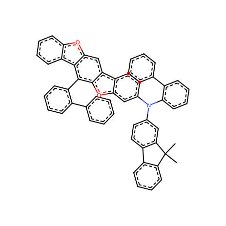 CC1(C)c2ccccc2-c2ccc(N(c3ccc4c(c3)oc3c(-c5ccccc5-c5ccccc5)c5c(cc34)oc3ccccc35)c3ccccc3-c3ccccc3)cc21